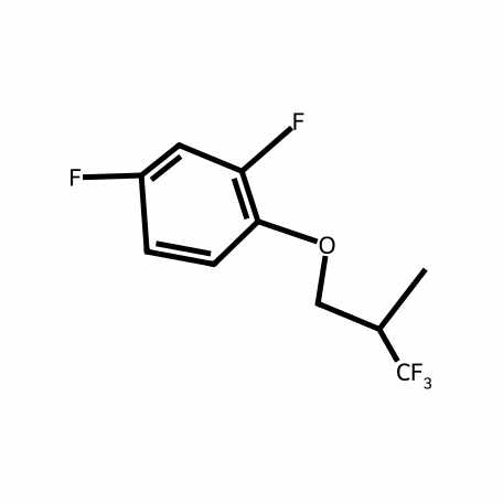 CC(COc1ccc(F)cc1F)C(F)(F)F